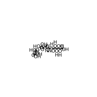 O=C(O)[C@@H](O)[C@@H](O)[C@H](O)[C@@H](O)C(=O)Nc1ncnc2c1ncn2[C@@H]1O[C@H](COP(=O)(O)OP(=O)(O)O)[C@@H](O)[C@H]1O